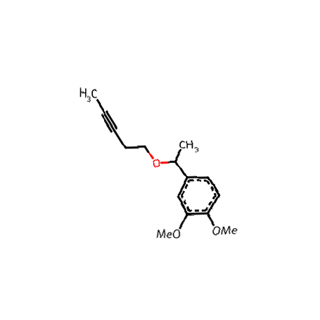 CC#CCCOC(C)c1ccc(OC)c(OC)c1